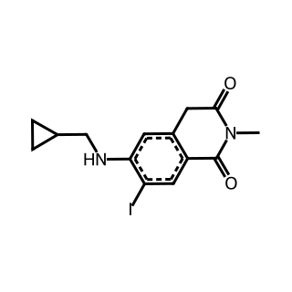 CN1C(=O)Cc2cc(NCC3CC3)c(I)cc2C1=O